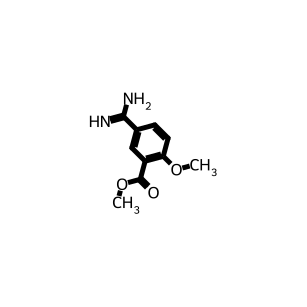 COC(=O)c1cc(C(=N)N)ccc1OC